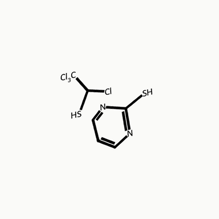 SC(Cl)C(Cl)(Cl)Cl.Sc1ncccn1